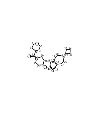 O=C(C1CCOCC1)N1CCC(Oc2ccc3c(c2)CCN(C2CCC2)CC3)CC1